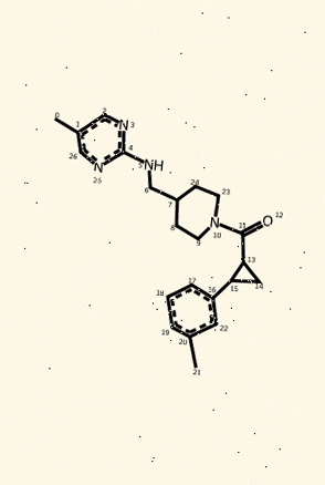 Cc1cnc(NCC2CCN(C(=O)C3CC3c3cccc(C)c3)CC2)nc1